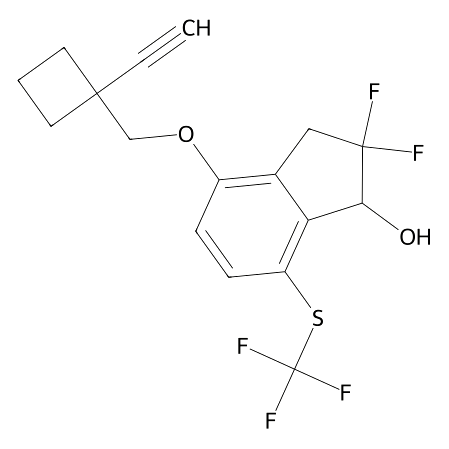 C#CC1(COc2ccc(SC(F)(F)F)c3c2CC(F)(F)C3O)CCC1